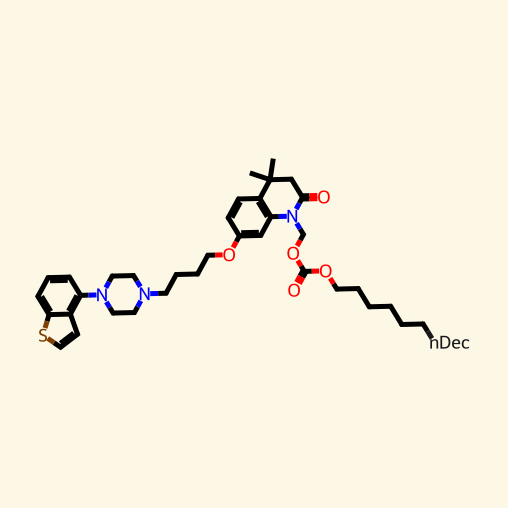 CCCCCCCCCCCCCCCCOC(=O)OCN1C(=O)CC(C)(C)c2ccc(OCCCCN3CCN(c4cccc5sccc45)CC3)cc21